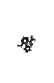 CCc1ccnc(C(=O)N(C)C)c1N1CCCC1